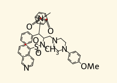 COc1ccc(N2CCN(CC(C(c3ccccc3)n3c(=O)c4ccc(cc4)c3=O)N(C)S(=O)(=O)c3cccc4cnccc34)CC2)cc1